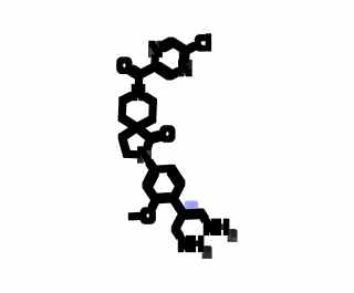 COc1cc(N2CCC3(CCN(C(=O)c4cnc(Cl)cn4)CC3)C2=O)ccc1/C(=C/N)CN